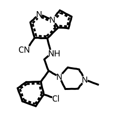 [C-]#[N+]c1cnn2cccc2c1NCC(c1ccccc1Cl)N1CCN(C)CC1